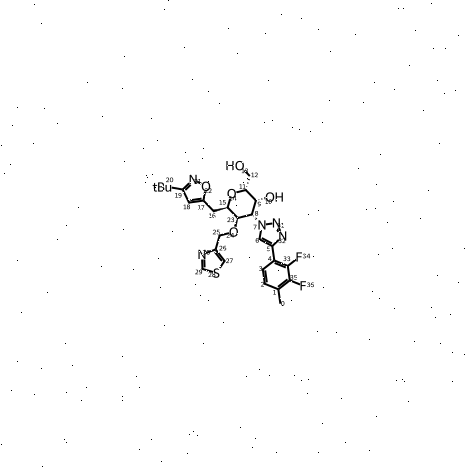 Cc1ccc(-c2cn([C@H]3[C@@H](O)[C@@H](CO)O[C@H](Cc4cc(C(C)(C)C)no4)[C@@H]3OCc3cscn3)nn2)c(F)c1F